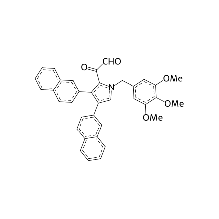 COc1cc(Cn2cc(-c3ccc4ccccc4c3)c(-c3ccc4ccccc4c3)c2C(=O)C=O)cc(OC)c1OC